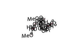 COc1ccc(C2=CN3C(=O)c4cc(OC)c(OCCCOc5cc6c(cc5OC)C(=O)N5CC7(CC7)C[C@H]5[C@H](O)N6C(=O)OCc5ccc(NC(=O)[C@H](C)NC(=O)[C@@H](NC(=O)CNC(=O)CNC(=O)OC6Cc7ccccc7C#Cc7ccccc76)C(C)C)cc5)cc4NC[C@@H]3C2)cc1